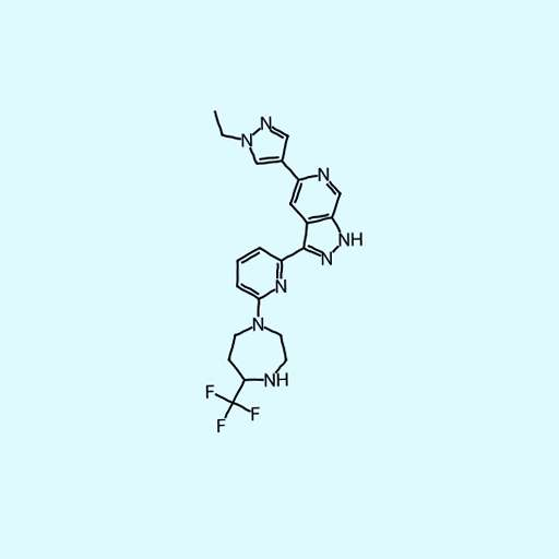 CCn1cc(-c2cc3c(-c4cccc(N5CCNC(C(F)(F)F)CC5)n4)n[nH]c3cn2)cn1